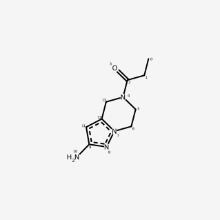 CCC(=O)N1CCn2nc(N)cc2C1